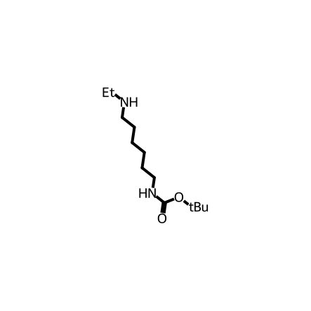 CCNCCCCCCNC(=O)OC(C)(C)C